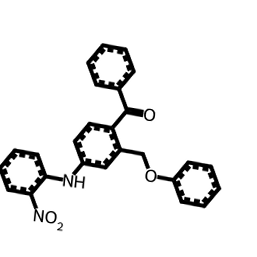 O=C(c1ccccc1)c1ccc(Nc2ccccc2[N+](=O)[O-])cc1COc1ccccc1